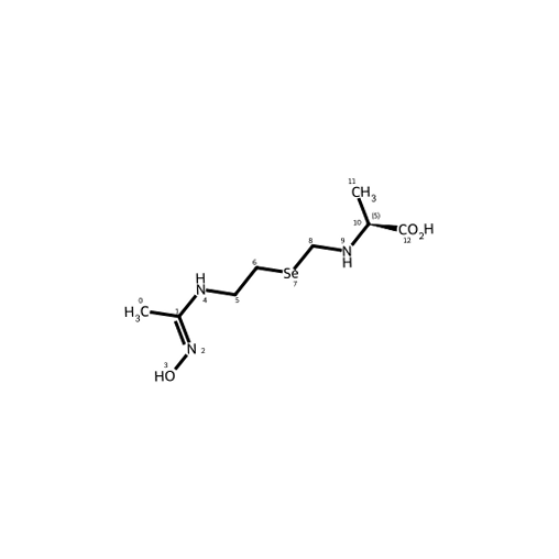 CC(=NO)NCC[Se]CN[C@@H](C)C(=O)O